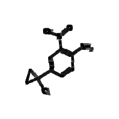 Nc1ccc(C2(Cl)CC2)cc1[N+](=O)[O-]